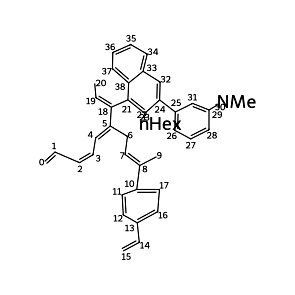 C=C\C=C/C=C(C/C=C(\C)c1ccc(C=C)cc1)/C(=C/C)c1c(CCCCCC)c(-c2cccc(NC)c2)cc2ccccc12